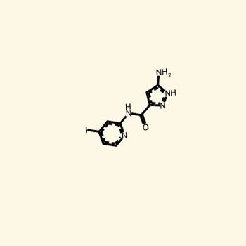 Nc1cc(C(=O)Nc2cc(I)ccn2)n[nH]1